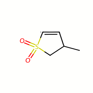 CC1C=[C]S(=O)(=O)C1